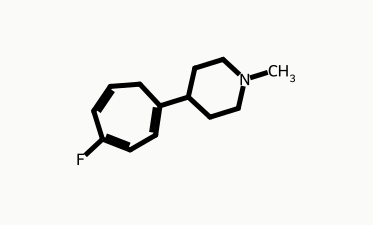 CN1CCC(C2=CC=C(F)C=CC2)CC1